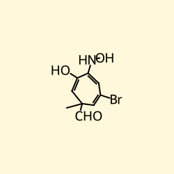 CC1(C=O)C=C(Br)C=C(NO)C(O)=C1